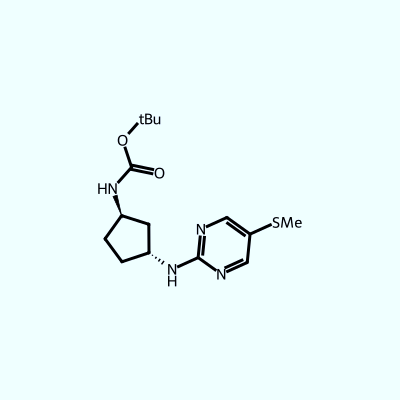 CSc1cnc(N[C@@H]2CC[C@@H](NC(=O)OC(C)(C)C)C2)nc1